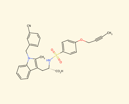 CC#CCOc1ccc(S(=O)(=O)N[C@@H](Cc2c(C)n(Cc3cccc(C#N)c3)c3ccccc23)C(=O)O)cc1